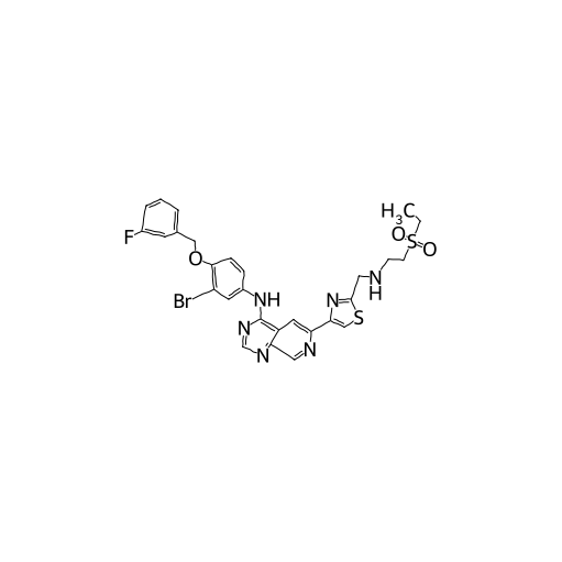 CCS(=O)(=O)CCNCc1nc(-c2cc3c(Nc4ccc(OCc5cccc(F)c5)c(Br)c4)ncnc3cn2)cs1